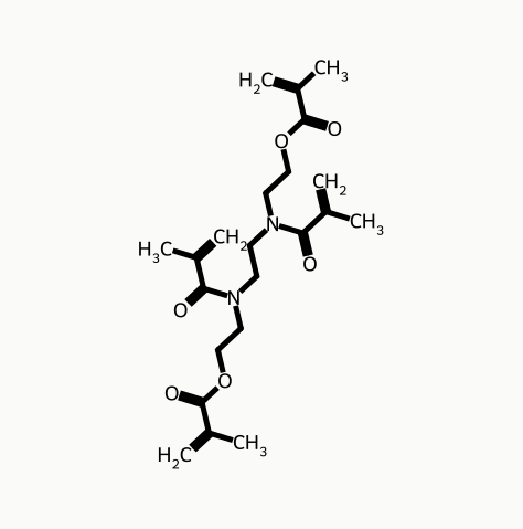 C=C(C)C(=O)OCCN(CCN(CCOC(=O)C(=C)C)C(=O)C(=C)C)C(=O)C(=C)C